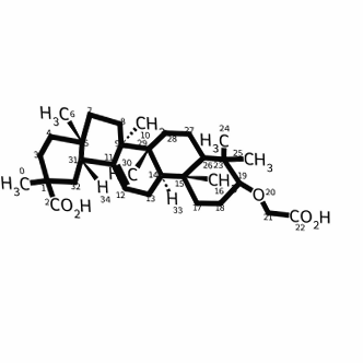 CC1(C(=O)O)CC[C@]2(C)CC[C@]3(C)C(=CC[C@@H]4[C@@]5(C)CCC(OCC(=O)O)C(C)(C)C5CC[C@]43C)[C@@H]2C1